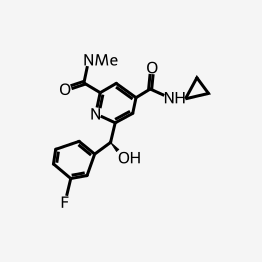 CNC(=O)c1cc(C(=O)NC2CC2)cc([C@@H](O)c2cccc(F)c2)n1